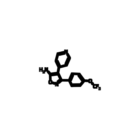 Nc1onc(-c2ccc(OC(F)(F)F)cc2)c1-c1ccncc1